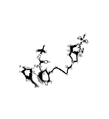 CC(C)(C)OC(=O)N[C@H]1CC(CCCCCN2Cc3cn(S(C)(=O)=O)nc3C2)CO[C@@H]1c1cc(F)ccc1F